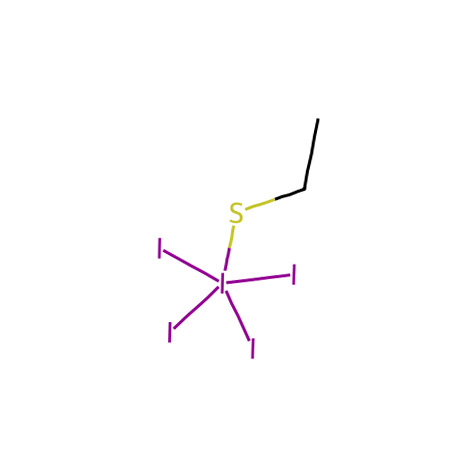 CCSI(I)(I)(I)I